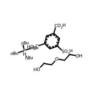 CCCC[PH](CCCC)(CCCC)CCCC.O=C(O)c1cc(C(=O)O)cc(S(=O)(=O)O)c1.OCCOCCO